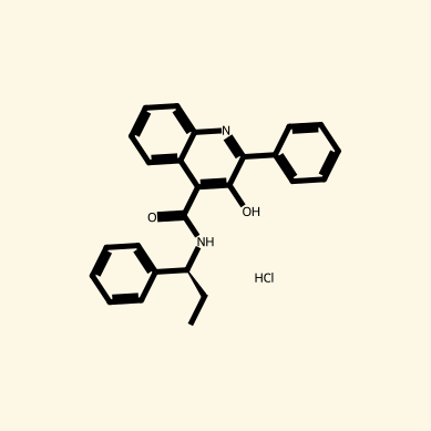 CC[C@H](NC(=O)c1c(O)c(-c2ccccc2)nc2ccccc12)c1ccccc1.Cl